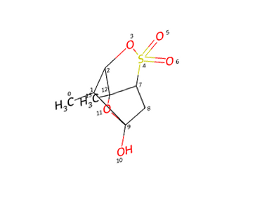 CC1C2OS(=O)(=O)C3CC1(O)OC23C